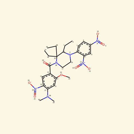 CCC1N(c2ccc([N+](=O)[O-])cc2[N+](=O)[O-])CCN(C(=O)c2cc([N+](=O)[O-])c(N(C)C)cc2OC)C1(CC)CC